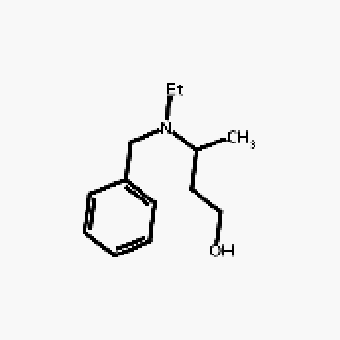 CCN(Cc1ccccc1)C(C)CCO